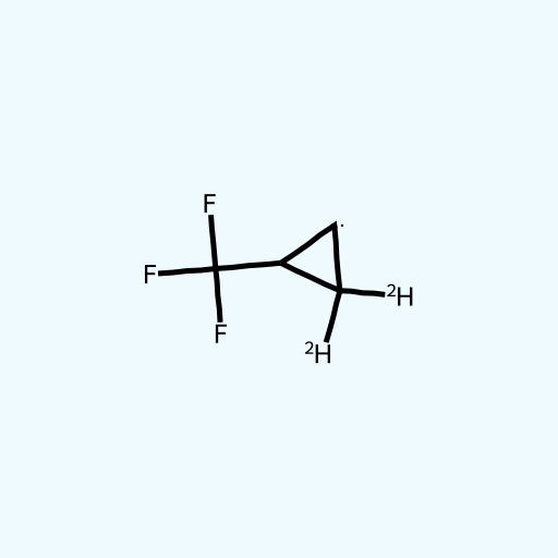 [2H]C1([2H])[CH]C1C(F)(F)F